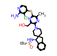 Cc1nc(N2CCC3(CC2)Cc2ccccc2[C@H]3N[S@+]([O-])C(C)(C)C)c(CO)nc1Sc1ccnc(N)c1Cl